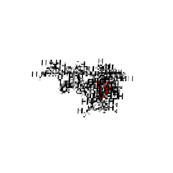 CC[C@H](C)[C@H](NC(=O)CNC(=O)[C@@H](NC(=O)[C@H](Cc1c[nH]c2ccccc12)NC(=O)[C@H](CCC(=O)O)NC(=O)[C@H](CC(C)C)NC(=O)CNC(=O)[C@H](CCCCN)NC(=O)CN)[C@@H](C)CC)C(=O)N[C@H](C(=O)N[C@@H](CO)C(=O)N[C@@H](CO)C(=O)N[C@@H](CO)C(=O)NCC(=O)N[C@@H](CO)C(=O)N[C@H](C(=O)N[C@@H](Cc1ccc(O)cc1)C(=O)N[C@@H](Cc1ccc(O)cc1)C(=O)N[C@@H](C)C(=O)N[C@@H](CO)C(=O)O)[C@@H](C)O)[C@@H](C)CC